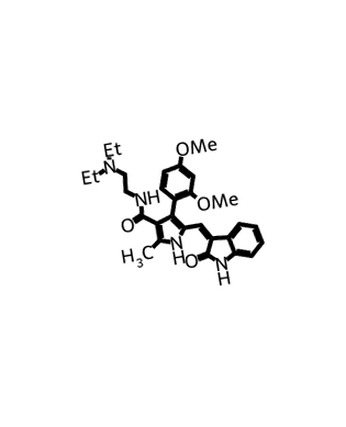 CCN(CC)CCNC(=O)c1c(C)[nH]c(C=C2C(=O)Nc3ccccc32)c1-c1ccc(OC)cc1OC